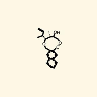 C=CC(C)[C@@H]1OCc2cc3ccccc3cc2COCC(O)[C@H]1C